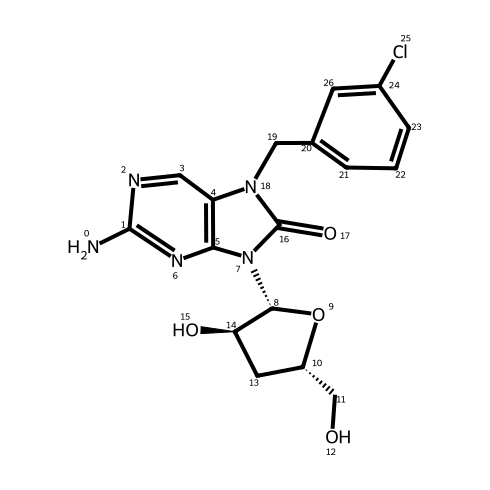 Nc1ncc2c(n1)n([C@@H]1O[C@H](CO)C[C@H]1O)c(=O)n2Cc1cccc(Cl)c1